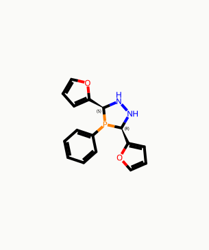 c1ccc(P2[C@@H](c3ccco3)NN[C@H]2c2ccco2)cc1